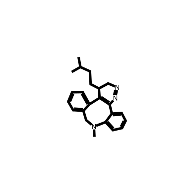 CC(C)CCC1CN=NC2=C1c1ccccc1CN(C)c1ccccc12